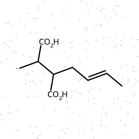 [CH2]C(C(=O)O)C(CC=CC)C(=O)O